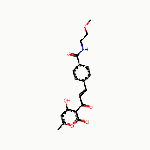 COCCNC(=O)c1ccc(C=CC(=O)c2c(O)cc(C)oc2=O)cc1